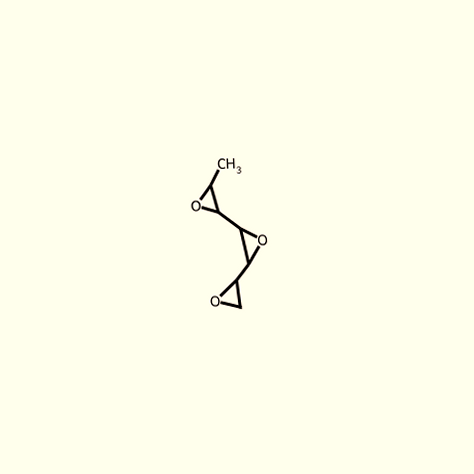 CC1OC1C1OC1C1CO1